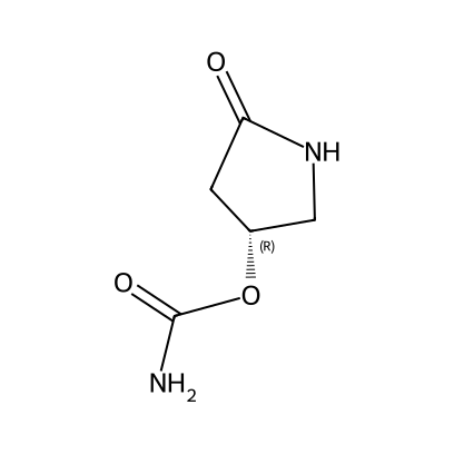 NC(=O)O[C@H]1CNC(=O)C1